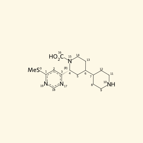 CSc1cc([C@H]2CC(C3CCNCC3)CCN2C(=O)O)ncn1